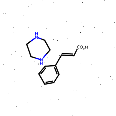 C1CNCCN1.O=C(O)C=Cc1ccccc1